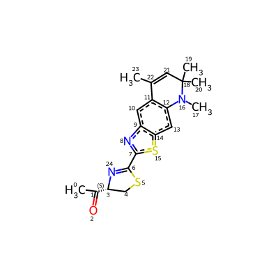 CC(=O)[C@H]1CSC(c2nc3cc4c(cc3s2)N(C)C(C)(C)C=C4C)=N1